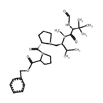 CC(C)[C@@H](CN1CCC[C@H]1C(=O)N1CCCC1C(=O)OCc1ccccc1)N(C)C(=O)[C@@H](NC=O)C(C)(C)C